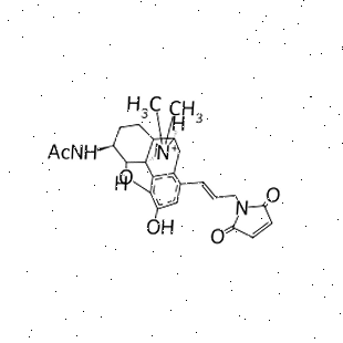 CC(=O)N[C@H]1CCC2[C@H]3Cc4c(/C=C/CN5C(=O)C=CC5=O)cc(O)c5c4[C@@]2(CC[N+]3(C)C)[C@H]1O5